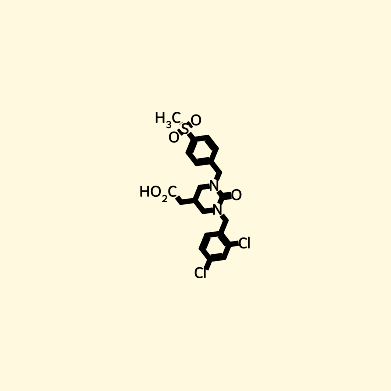 CS(=O)(=O)c1ccc(CN2CC(CC(=O)O)CN(Cc3ccc(Cl)cc3Cl)C2=O)cc1